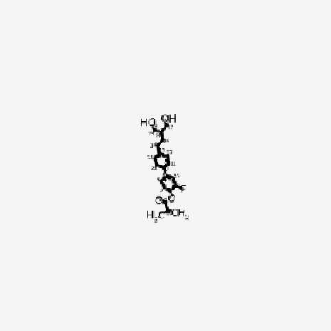 C=C(C)C(=O)Oc1ccc(-c2ccc(CCC(CO)CO)cc2)cc1F